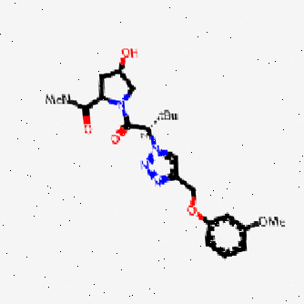 CNC(=O)C1CC(O)CN1C(=O)[C@@H](n1cc(COc2cccc(OC)c2)nn1)C(C)(C)C